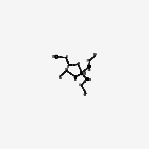 CCO[Si](CCC[O])(OCC)OCC